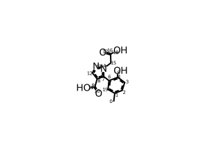 Cc1ccc(O)c(-c2c(C(=O)O)cnn2CC(=O)O)c1